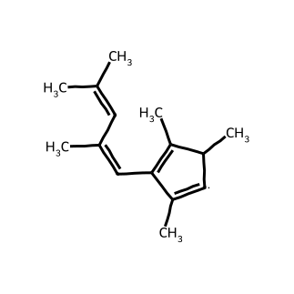 CC1=[C]C(C)C(C)=C1C=C(C)C=C(C)C